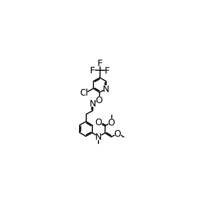 COC=C(C(=O)OC)N(C)c1cccc(CC=NOc2ncc(C(F)(F)F)cc2Cl)c1